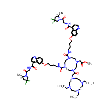 CC(C)(C)OC(=O)CN1CCN(C(=O)CN2CCN(CC(=O)O)CCN(CC(=O)O)CCN(CC(=O)O)CC2)CCN(C(=O)NCCCCOc2ccc3nccc(C(=O)NCC(=O)N4CC(F)(F)C[C@H]4C#N)c3c2)CCN(C(=O)NCCCCOc2ccc3nccc(C(=O)NCC(=O)N4CC(F)(F)C[C@H]4C#N)c3c2)CC1